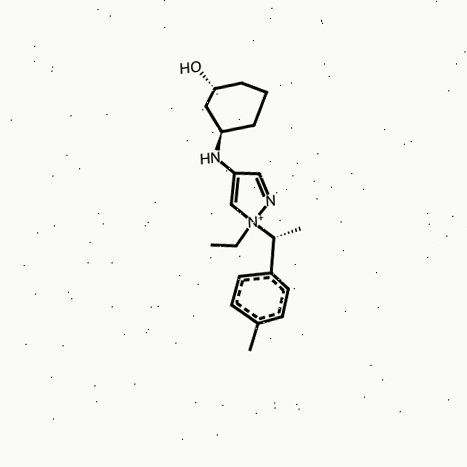 CC[N+]1([C@H](C)c2ccc(C)cc2)C=C(N[C@@H]2CCC[C@@H](O)C2)C=N1